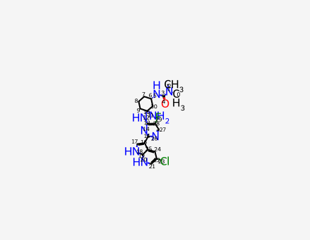 CN(C)C(=O)N[C@H]1CCC[C@@](N)(Nc2nc(C3=CNC4NC=C(Cl)C=C34)ncc2F)C1